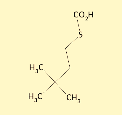 CC(C)(C)CCSC(=O)O